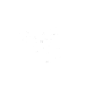 C=C(C)C(=O)OCC(=O)N(C(=O)OC1CC2CCC1C2)C(=O)OC1CC2CCC1C2